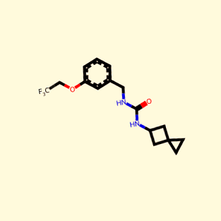 O=C(NCc1cccc(OCC(F)(F)F)c1)NC1CC2(CC2)C1